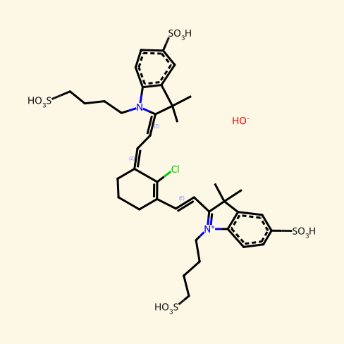 CC1(C)C(/C=C/C2=C(Cl)C(=C\C=C3/N(CCCCS(=O)(=O)O)c4ccc(S(=O)(=O)O)cc4C3(C)C)/CCC2)=[N+](CCCCS(=O)(=O)O)c2ccc(S(=O)(=O)O)cc21.[OH-]